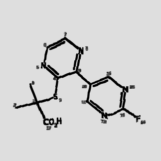 CC(C)(Sc1nccnc1-c1cnc(F)nc1)C(=O)O